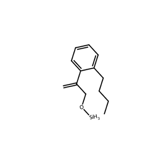 C=C(CO[SiH3])c1ccccc1CCCC